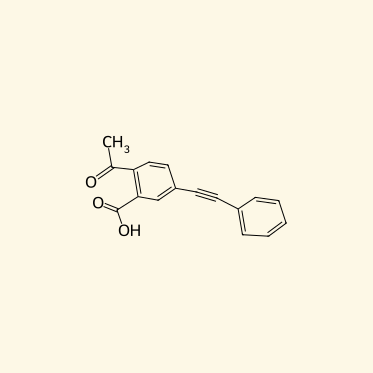 CC(=O)c1ccc(C#Cc2ccccc2)cc1C(=O)O